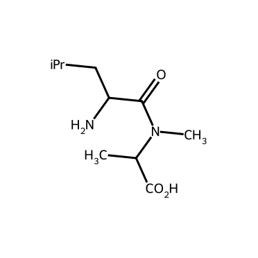 CC(C)CC(N)C(=O)N(C)C(C)C(=O)O